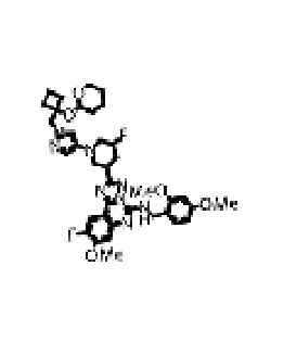 COc1ccc(CNc2nc3cc(OC)c(F)cc3c3nc(C4CC(F)CN(c5cnn(CC6(OC7CCCCO7)CCC6)c5)C4)nn23)c(OC)c1